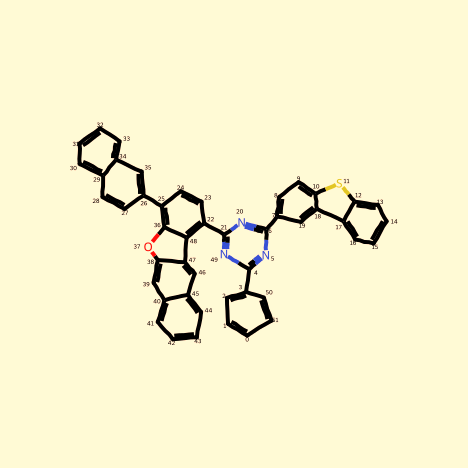 c1ccc(-c2nc(-c3ccc4sc5ccccc5c4c3)nc(-c3ccc(-c4ccc5ccccc5c4)c4oc5cc6ccccc6cc5c34)n2)cc1